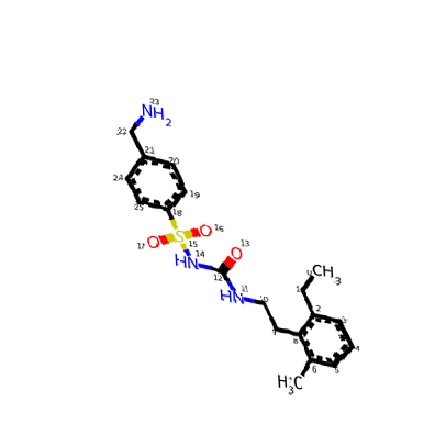 CCc1cccc(C)c1CCNC(=O)NS(=O)(=O)c1ccc(CN)cc1